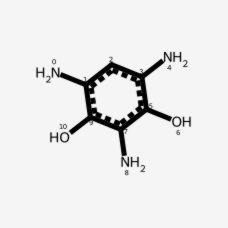 Nc1cc(N)c(O)c(N)c1O